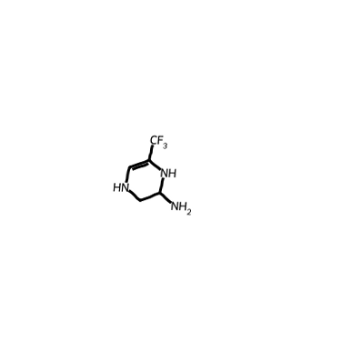 NC1CNC=C(C(F)(F)F)N1